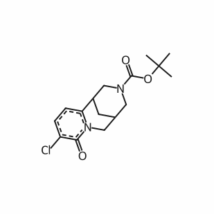 CC(C)(C)OC(=O)N1CC2CC(C1)c1ccc(Cl)c(=O)n1C2